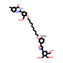 COc1ccc(-c2cc(-c3cc(CO)c(CO)c(CO)c3)no2)cc1OCCCCCCCCCCOc1ccc(C2NC(=O)c3cc(C)ccc3N2)cc1CO